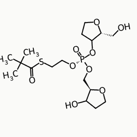 CC(C)(C)C(=O)SCCO[P@@](=O)(OC[C@H]1OCCC1O)OC1CCO[C@@H]1CO